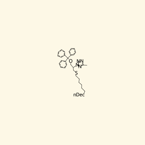 CCCCCCCCCCCCCCCCSCC(COC(c1ccccc1)(c1ccccc1)c1ccccc1)n1nnc(C)n1